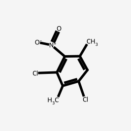 Cc1cc(Cl)c(C)c(Cl)c1[N+](=O)[O-]